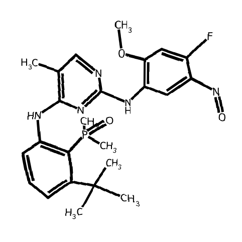 COc1cc(F)c(N=O)cc1Nc1ncc(C)c(Nc2cccc(C(C)(C)C)c2P(C)(C)=O)n1